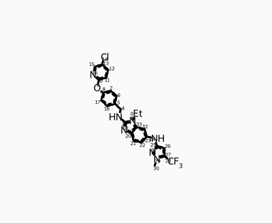 CCn1c(NCc2ccc(Oc3ccc(Cl)cn3)cc2)nc2ccc(Nc3cc(C(F)(F)F)n(C)n3)cc21